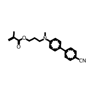 C=C(C)C(=O)OCCCN(C)c1ccc(-c2ccc(C#N)cc2)cc1